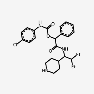 CCC(CC)C(NC(=O)C(OC(=O)Nc1ccc(Cl)cc1)c1ccccc1)C1CCNCC1